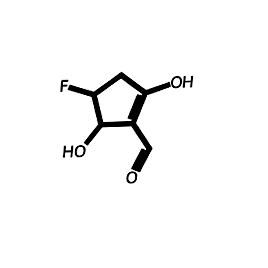 O=CC1=C(O)CC(F)C1O